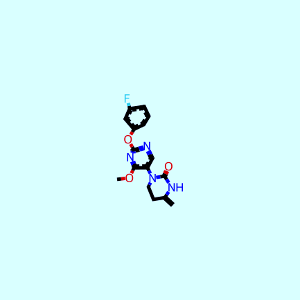 C=C1CCN(c2cnc(Oc3cccc(F)c3)nc2OC)C(=O)N1